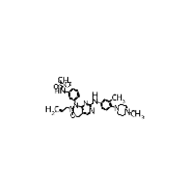 C=CCN1OCc2cnc(Nc3ccc(N4CCN(C)CC4)c(C)c3)nc2N1c1cccc(NS(C)(=O)=O)c1